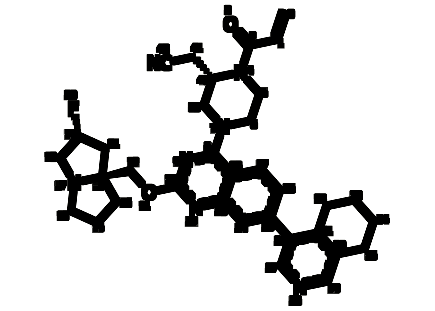 C=CC(=O)N1CCN(c2nc(OC[C@@]34CCCN3C[C@H](F)C4)nc3cc(-c4cncc5c4CCCC5)ccc23)C[C@@H]1CC#N